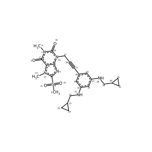 Cn1c(=O)c2c(nc(S(C)(=O)=O)n2C)n(CC#Cc2cc(NCC3CC3)cc(NCC3CC3)c2)c1=O